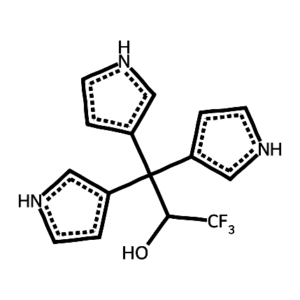 OC(C(F)(F)F)C(c1cc[nH]c1)(c1cc[nH]c1)c1cc[nH]c1